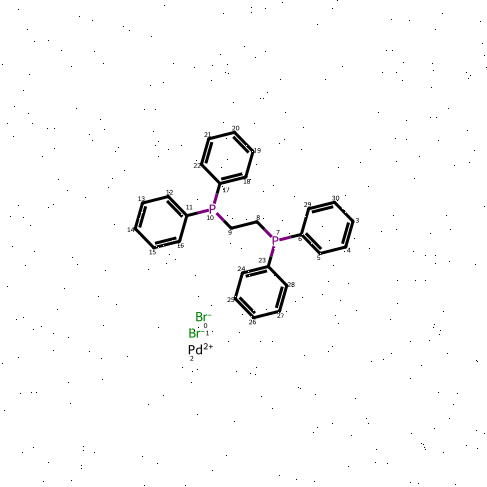 [Br-].[Br-].[Pd+2].c1ccc(P(CCP(c2ccccc2)c2ccccc2)c2ccccc2)cc1